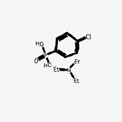 CCN(CC)CC.O=P(O)(O)c1ccc(Cl)cc1